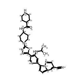 CC(C)Nc1cc(-c2ccc3cc(C#N)cnn23)ncc1-c1nnc(N2CCC(NC(=O)C3CCNCC3)CC2)s1